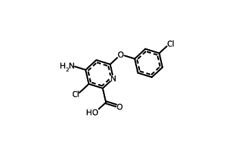 Nc1cc(Oc2cccc(Cl)c2)nc(C(=O)O)c1Cl